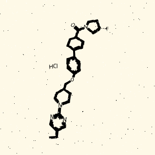 CCc1cnc(N2CCC(COc3ccc(C4=CCC(C(=O)N5CC[C@H](F)C5)CC4)cc3)CC2)nc1.Cl